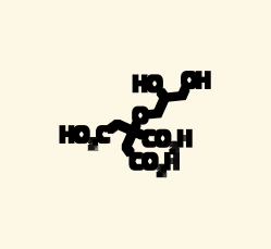 O=C(O)CC(CC(=O)O)(OCC(O)CO)C(=O)O